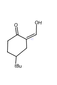 CC(C)(C)C1CCC(=O)/C(=C\O)C1